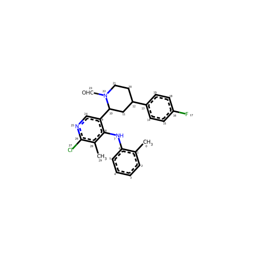 Cc1ccccc1Nc1c(C2CC(c3ccc(F)cc3)CCN2C=O)cnc(Cl)c1C